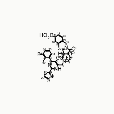 CCOC(=O)C1=C(CN2CC[C@]3(F)C(=O)N(Cc4ccc(C(=O)O)cc4C)C[C@@H]3C2)NC(c2nccs2)=N[C@H]1c1cccc(F)c1C